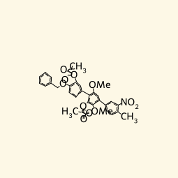 COc1cc(-c2ccc(C)c([N+](=O)[O-])c2)c(OC)c(OS(C)(=O)=O)c1-c1ccc(OCc2ccccc2)c(OS(C)(=O)=O)c1